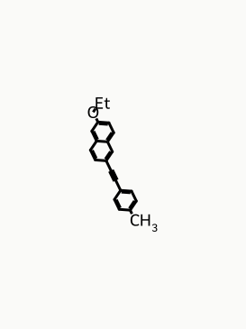 CCOc1ccc2cc(C#Cc3ccc(C)cc3)ccc2c1